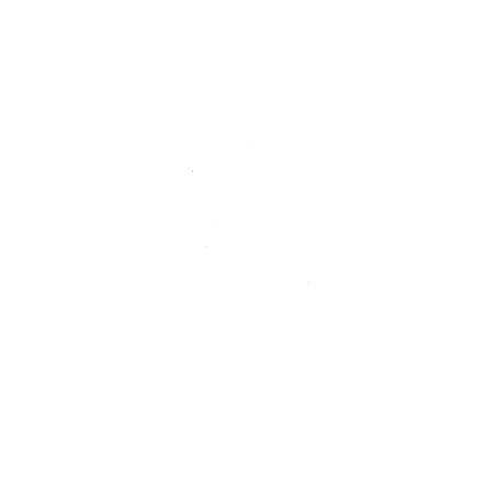 CSc1ccccc1/C=C/C(=O)OC(C)N